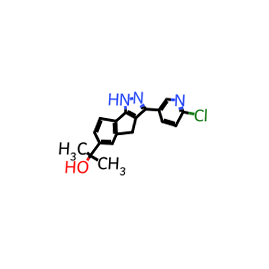 CC(C)(O)c1ccc2c(c1)Cc1c(-c3ccc(Cl)nc3)n[nH]c1-2